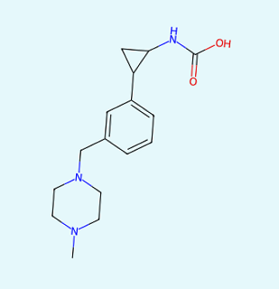 CN1CCN(Cc2cccc(C3CC3NC(=O)O)c2)CC1